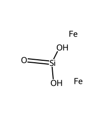 O=[Si](O)O.[Fe].[Fe]